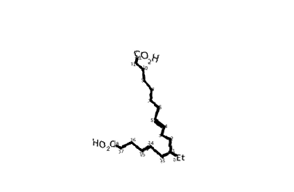 CCC(CCC=CCCCCCCC(=O)O)CCCCCC(=O)O